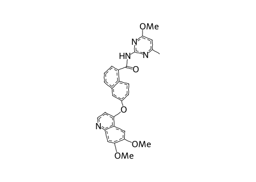 COc1cc(C)nc(NC(=O)c2cccc3cc(Oc4ccnc5cc(OC)c(OC)cc45)ccc23)n1